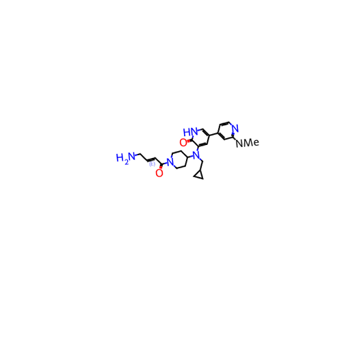 CNc1cc(-c2c[nH]c(=O)c(N(CC3CC3)C3CCN(C(=O)/C=C/CN)CC3)c2)ccn1